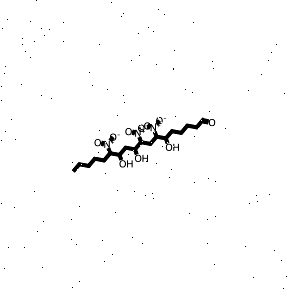 CCCCCC(C(O)CC(O)C(CC(C(O)CCCC[C]=O)[N+](=O)[O-])[N+](=O)[O-])[N+](=O)[O-]